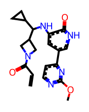 C=CC(=O)N1CC(C(Nc2cc(-c3ccnc(OC)n3)c[nH]c2=O)C2CC2)C1